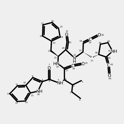 CCC(C)[C@H](NC(=O)c1cc2ccccc2[nH]1)C(=C=O)N[C@@H](Cc1ccccc1)C(=C=O)N[C@H](C=C=O)C[C@@H]1CCNC1=C=O